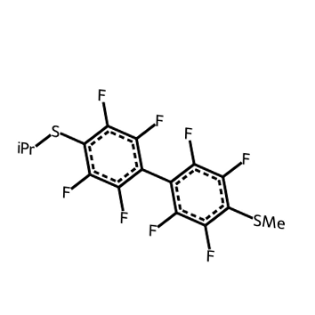 CSc1c(F)c(F)c(-c2c(F)c(F)c(SC(C)C)c(F)c2F)c(F)c1F